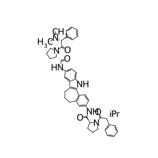 CC(C)[C@@H](C(=O)N1CCC[C@H]1C(=O)Nc1ccc2c(c1)CCCc1c-2[nH]c2ccc(NC(=O)[C@@H]3CCCN3C(=O)[C@@H](c3ccccc3)N(C)C)cc12)c1ccccc1